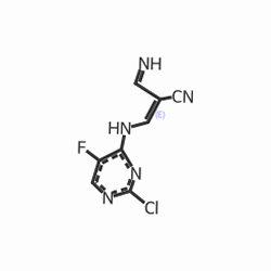 N#C/C(C=N)=C/Nc1nc(Cl)ncc1F